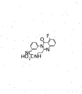 N#Cc1cccc(-n2c(CCNC(=O)O)nc3cccc(F)c3c2=O)c1